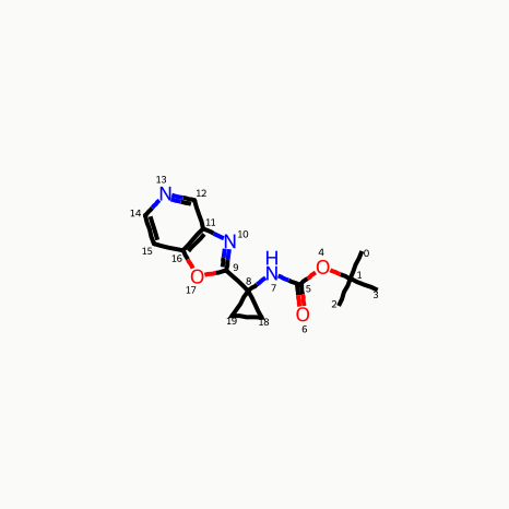 CC(C)(C)OC(=O)NC1(c2nc3cnccc3o2)CC1